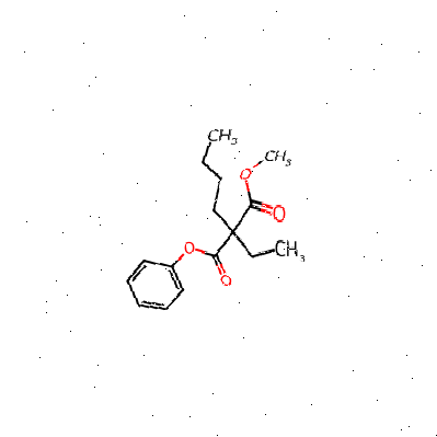 CCCCC(CC)(C(=O)OC)C(=O)Oc1ccccc1